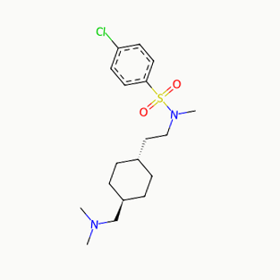 CN(C)C[C@H]1CC[C@H](CCN(C)S(=O)(=O)c2ccc(Cl)cc2)CC1